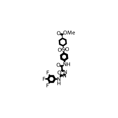 COC(=O)[C@H]1CC[C@@H](S(=O)(=O)c2ccc(NC(=O)c3nnc(Nc4cc(F)c(F)c(F)c4)o3)cc2)CC1